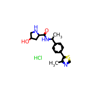 Cc1ncsc1-c1ccc(C(C)NC(=O)C2CC(O)CN2)cc1.Cl